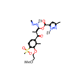 C=NN(CC)/C(OC(=O)c1cc(C)nn1CC)=C(\C)C(=O)c1ccc(S(C)(=O)=O)c(OCCOC)c1C